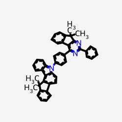 CC1(C)c2ccccc2-c2c(-c3ccc(-n4c5ccccc5c5c6c(ccc54)-c4ccccc4C6(C)C)cc3)nc(-c3ccccc3)nc21